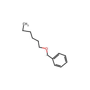 CCCCCCO[C]c1ccccc1